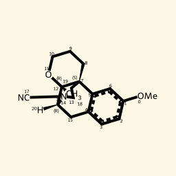 COc1ccc2c(c1)[C@@]13CCCO[C@@]1(C)[C@@H](C2)N(C#N)CC3